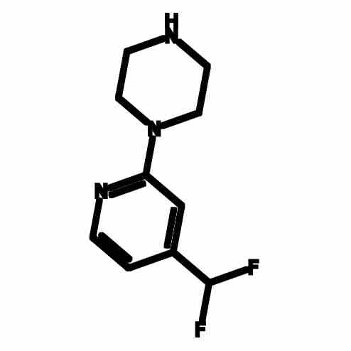 FC(F)c1ccnc(N2CCNCC2)c1